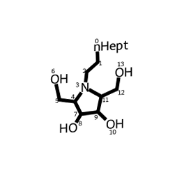 CCCCCCCCCN1C(CO)C(O)C(O)C1CO